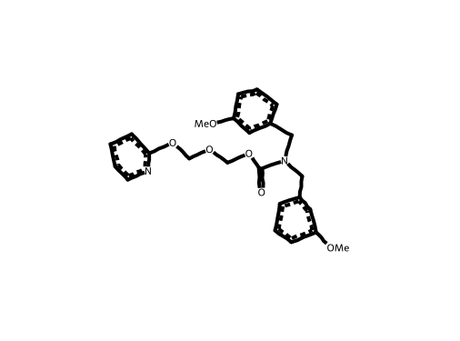 COc1cccc(CN(Cc2cccc(OC)c2)C(=O)OCOCOc2ccccn2)c1